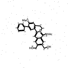 COc1cc2c(cc1-c1ccccc1)-c1cc3cc(CO)c(CO)cc3c(NC(C)=O)[n+]1CC2